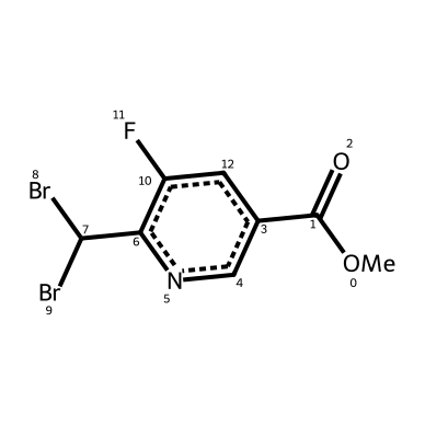 COC(=O)c1cnc(C(Br)Br)c(F)c1